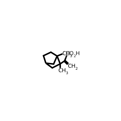 C=C(C(=O)O)C1(C)CC2CCC1(C)C2